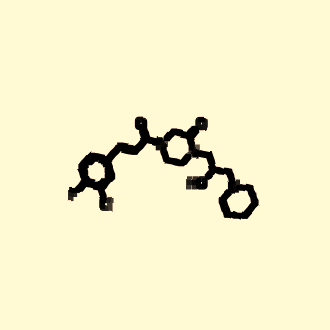 O=C(/C=C/c1ccc(F)c(Cl)c1)N1CCN(CC(O)CN2CCCCC2)C(=O)C1